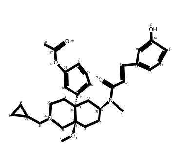 CO[C@]12CC[C@H](N(C)C(=O)C=Cc3cccc(O)c3)C[C@]1(c1cccc(OC(C)=O)c1)CCN(CC1CC1)C2